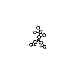 Cn1c(-c2ccccc2)c(-c2ccccc2)c2c3ccc(N(c4ccc5c(c4)C(C)(C)c4ccccc4-5)c4ccc5c(c4)C(C)(C)c4ccccc4-5)cc3c3ccccc3c21